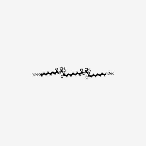 CCCCCCCCCCCCCCCCCC(=O)OC(C)OC(=O)CCCCCCCC(=O)OC(C)OC(=O)CCCCCCCCCCCCCCCCC